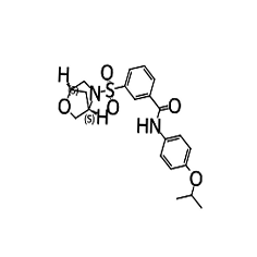 CC(C)Oc1ccc(NC(=O)c2cccc(S(=O)(=O)N3C[C@@H]4C[C@H]3CO4)c2)cc1